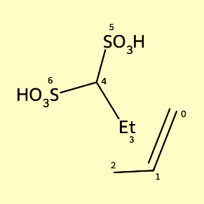 C=CC.CCC(S(=O)(=O)O)S(=O)(=O)O